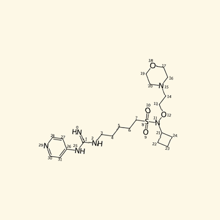 N=C(NCCCCCS(=O)(=O)N(OCCN1CCOCC1)C1CCC1)Nc1ccncc1